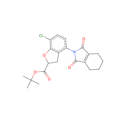 CC(C)(C)OC(=O)C1Cc2c(N3C(=O)C4=C(CCCC4)C3=O)ccc(Cl)c2O1